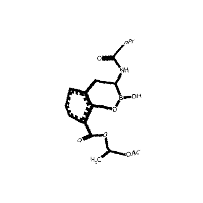 CCCC(=O)NC1Cc2cccc(C(=O)OC(C)OC(C)=O)c2OB1O